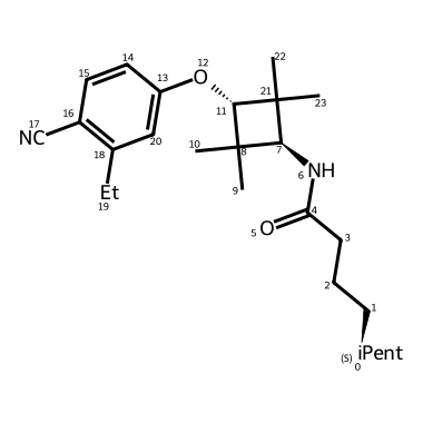 CCC[C@H](C)CCCC(=O)N[C@H]1C(C)(C)[C@H](Oc2ccc(C#N)c(CC)c2)C1(C)C